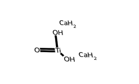 [CaH2].[CaH2].[O]=[Ti]([OH])[OH]